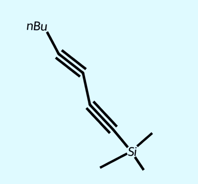 CCCCC#CC#C[Si](C)(C)C